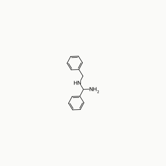 NC(NCc1ccccc1)c1ccccc1